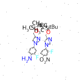 CC(C)(C)[Si](C)(C)OCc1cn(-c2ccc(N)c(F)c2)cn1.CC(C)(C)[Si](C)(C)OCc1cn(-c2ccc([N+](=O)[O-])cc2F)cn1